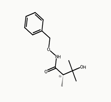 C[C@H](C(=O)NOCc1ccccc1)C(C)(C)O